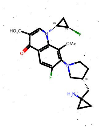 COc1c(N2CC[C@H](CC3(N)CC3)C2)c(F)cc2c(=O)c(C(=O)O)cn([C@@H]3C[C@H]3F)c12